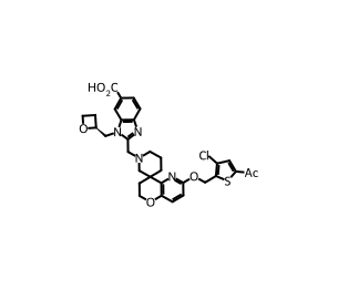 CC(=O)c1cc(Cl)c(COc2ccc3c(n2)C2(CCCN(Cc4nc5ccc(C(=O)O)cc5n4C[C@@H]4CCO4)C2)CCO3)s1